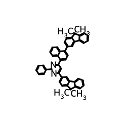 CC1(C)c2ccccc2-c2cc(-c3cc(-c4ccc(-c5ccc6c(c5)-c5ccccc5C6(C)C)c5ccccc45)nc(-c4ccccc4)n3)ccc21